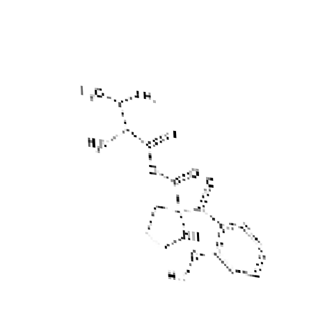 COc1ccccc1C(=O)[C@@]1(C(=O)OC(=O)C(N)C(C)C)CCCN1